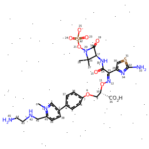 C[n+]1cc(-c2ccc(OC[C@H](O/N=C(\C(=O)N[C@@H]3C(=O)N(OS(=O)(=O)[O-])C3(C)C)c3csc(N)n3)C(=O)O)cc2)ccc1CNCCN